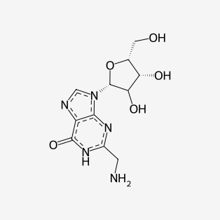 NCc1nc2c(ncn2[C@@H]2O[C@H](CO)[C@H](O)C2O)c(=O)[nH]1